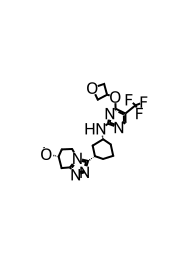 CO[C@@H]1CCn2c(nnc2[C@H]2CCC[C@@H](Nc3ncc(C(F)(F)F)c(OC4COC4)n3)C2)C1